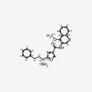 COc1c(NC(=O)c2coc([C@H](N)CCc3ccccc3)n2)cnc2ccccc12